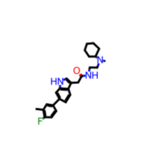 Cc1cc(-c2ccc3c(CC(=O)NCCN(C)C4CCCCC4)c[nH]c3c2)ccc1F